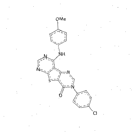 COc1ccc(Nc2ncnc3sc4c(=O)n(-c5ccc(Cl)cc5)cnc4c23)cc1